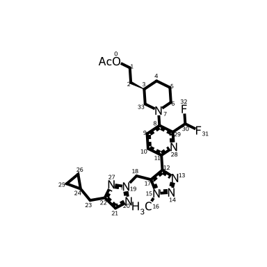 CC(=O)OCC[C@H]1CCCN(c2ccc(-c3nnn(C)c3Cn3ncc(CC4CC4)n3)nc2C(F)F)C1